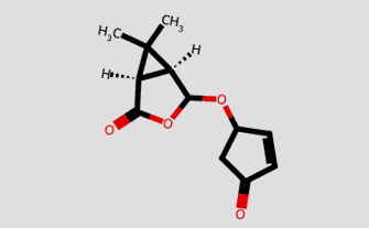 CC1(C)[C@@H]2C(=O)OC(OC3C=CC(=O)C3)[C@@H]21